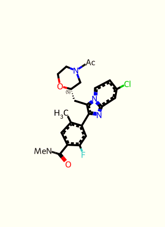 CNC(=O)c1cc(C)c(-c2nc3cc(Cl)ccn3c2C[C@H]2CN(C(C)=O)CCO2)cc1F